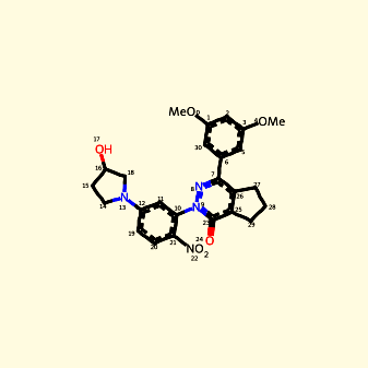 COc1cc(OC)cc(-c2nn(-c3cc(N4CCC(O)C4)ccc3[N+](=O)[O-])c(=O)c3c2CCC3)c1